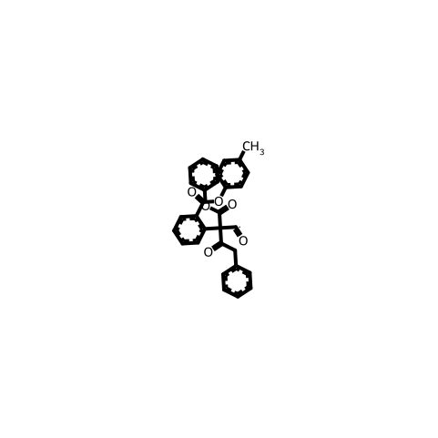 Cc1ccc(OC(=O)c2ccccc2C([C]=O)(C(=O)Cc2ccccc2)C(=O)Oc2ccccc2)cc1